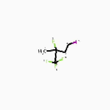 CC(F)(CCI)C(F)(F)F